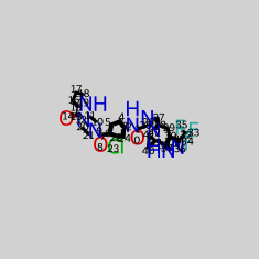 O=C(Nc1ccc(C(=O)N2CCN(C(=O)[C@H]3CCCN3)CC2)c(Cl)c1)c1ncc(Cc2c(C(F)(F)F)n[nH]c2C2CC2)[nH]1